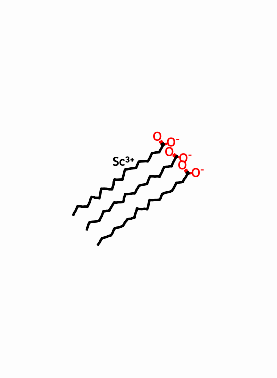 CCCCCCCCCCCCCCCC(=O)[O-].CCCCCCCCCCCCCCCC(=O)[O-].CCCCCCCCCCCCCCCC(=O)[O-].[Sc+3]